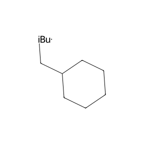 CC[C](C)CC1CCCCC1